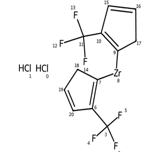 Cl.Cl.FC(F)(F)C1=[C]([Zr][C]2=C(C(F)(F)F)C=CC2)CC=C1